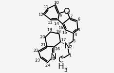 CCN(Cc1ccc2oc3ccccc3c2c1)[C@H]1CCCc2cccnc21